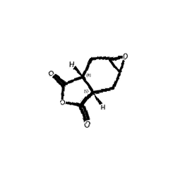 O=C1OC(=O)[C@@H]2CC3OC3C[C@H]12